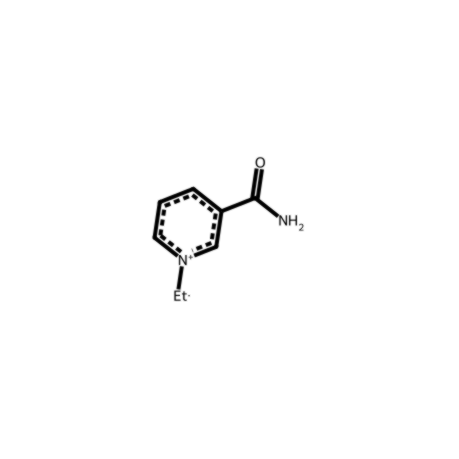 C[CH][n+]1cccc(C(N)=O)c1